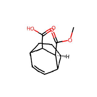 COC(=O)[C@H]1C2C=CC(CCC2)C1C(=O)O